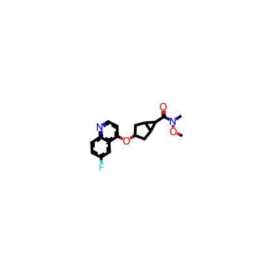 CON(C)C(=O)C1C2CC(Oc3ccnc4ccc(F)cc34)CC21